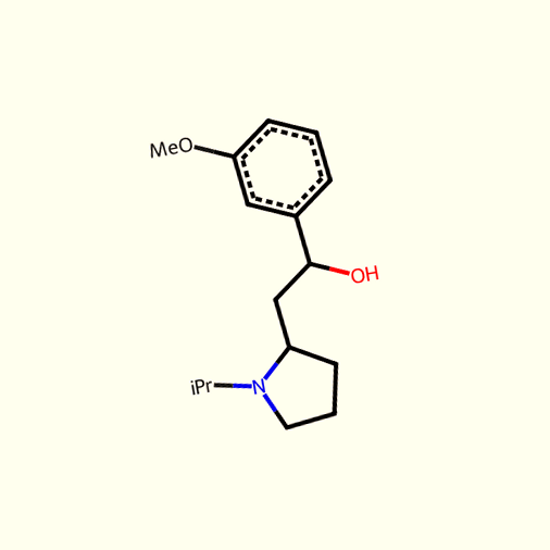 COc1cccc(C(O)CC2CCCN2C(C)C)c1